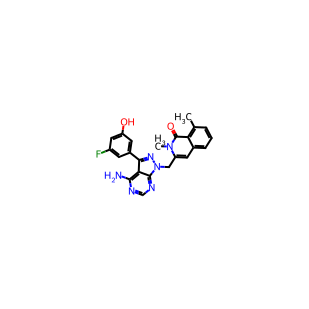 Cc1cccc2cc(Cn3nc(-c4cc(O)cc(F)c4)c4c(N)ncnc43)n(C)c(=O)c12